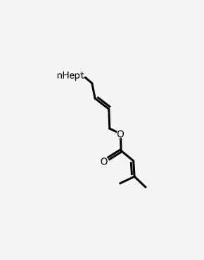 CCCCCCCCC=CCOC(=O)C=C(C)C